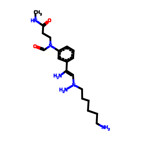 CNC(=O)CCN(C=O)c1cccc(/C(N)=C/N(N)CCCCCCN)c1